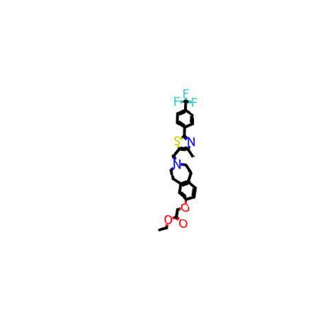 CCOC(=O)COc1ccc2c(c1)CCN(Cc1sc(-c3ccc(C(F)(F)F)cc3)nc1C)CC2